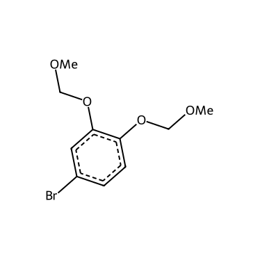 COCOc1ccc(Br)cc1OCOC